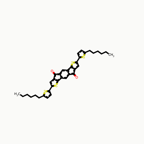 CCCCCCc1ccc(-c2cc3c(=O)c4cc5c(cc4c3s2)c(=O)c2cc(-c3ccc(CCCCCC)s3)sc25)s1